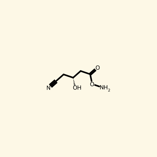 N#CC[C@@H](O)CC(=O)ON